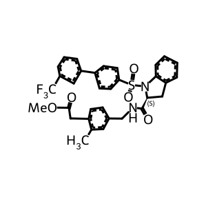 COC(=O)Cc1ccc(CNC(=O)[C@@H]2Cc3ccccc3N2S(=O)(=O)c2ccc(-c3cccc(C(F)(F)F)c3)cc2)cc1C